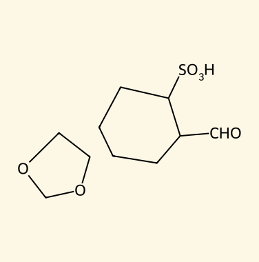 C1COCO1.O=CC1CCCCC1S(=O)(=O)O